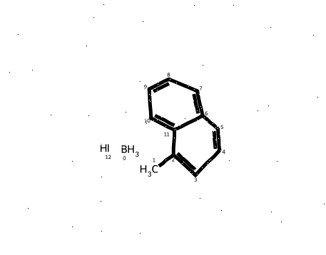 B.Cc1cccc2ccccc12.I